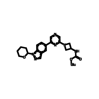 CC(C)(C)OC(=O)NC1CN(c2cncc(-c3ccc4c(cnn4C4CCCCO4)c3)n2)C1